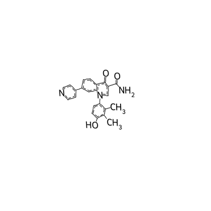 Cc1c(O)ccc(-n2cc(C(N)=O)c(=O)c3ccc(-c4ccncc4)cc32)c1C